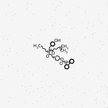 CCCCCN(C(=O)CCN1CCC(OC(=O)Nc2ccccc2-c2ccccc2)CC1)N(Cc1ccc(O)cc1)C(=O)CCCN(C)C